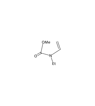 C=CN(CC)C(=O)OC